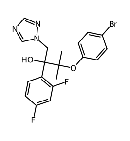 CC(C)(Oc1ccc(Br)cc1)C(O)(Cn1cncn1)c1ccc(F)cc1F